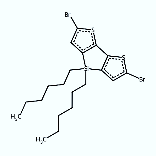 CCCCCC[Si]1(CCCCCC)c2cc(Br)sc2-c2sc(Br)cc21